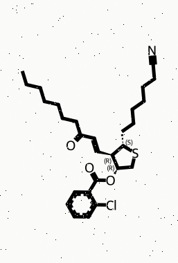 CCCCCCCC(=O)C=C[C@@H]1[C@@H](OC(=O)c2ccccc2Cl)CS[C@H]1CCCCCCC#N